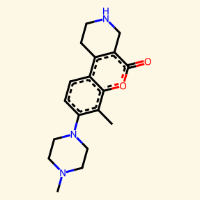 Cc1c(N2CCN(C)CC2)ccc2c3c(c(=O)oc12)CNCC3